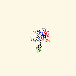 C=CCN1CC[C@]23c4c5c([N+](=O)[O-])cc(O)c4OC2C(N(C)C(=O)CCc2ccc(C(F)(F)F)cc2)CC[C@@]3(O)[C@H]1C5